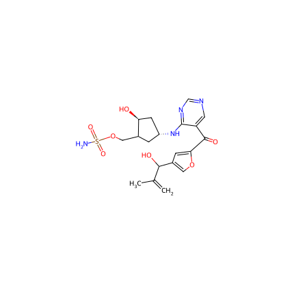 C=C(C)C(O)c1coc(C(=O)c2cncnc2N[C@@H]2CC(COS(N)(=O)=O)[C@@H](O)C2)c1